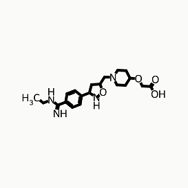 CCNC(=N)c1ccc(C2CC(CN3CCC(OCC(=O)O)CC3)ON2)cc1